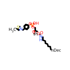 CCCCCCCCCCCCCCCCCCNC(=O)OCC(COP(O)Oc1ccc(CN2C=C(C)SC2)cc1)OC(C)C